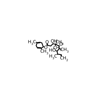 C=CC(C)C(O)C(C)C(=O)C(C)(C)[C@@H](O)CC(=O)OC1CC=C(C)CC=C1C